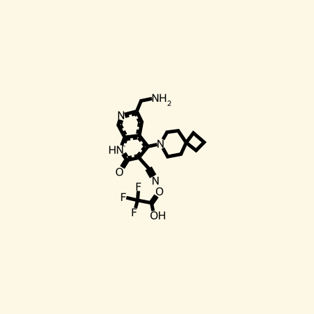 N#Cc1c(N2CCC3(CCC3)CC2)c2cc(CN)ncc2[nH]c1=O.O=C(O)C(F)(F)F